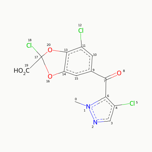 Cn1ncc(Cl)c1C(=O)c1cc(Cl)c2c(c1)OC(Cl)(C(=O)O)O2